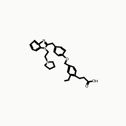 CCc1cc(COc2ccc(Cc3nc4ccccc4n3CCN3CCCC3)cc2)ccc1CCC(=O)O